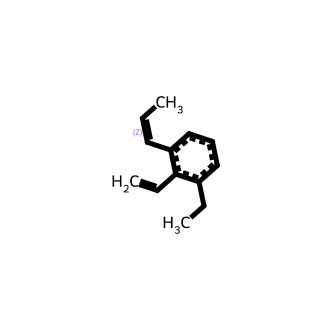 C=Cc1c(/C=C\C)cccc1CC